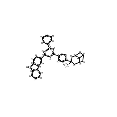 CC1(c2ccc(-c3nc(-c4ccccc4)nc(-c4ccc5oc6ccccc6c5c4)n3)cc2)CC2CC3CC(C1)C32